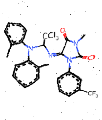 Cc1ccccc1N(c1ccccc1C)C(N=C1C(=O)N(C)C(=O)N1c1cccc(C(F)(F)F)c1)C(Cl)(Cl)Cl